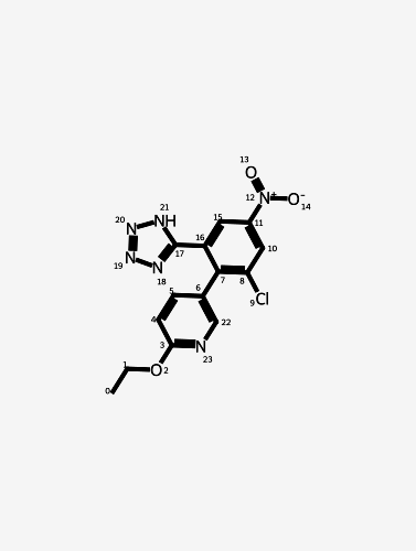 CCOc1ccc(-c2c(Cl)cc([N+](=O)[O-])cc2-c2nnn[nH]2)cn1